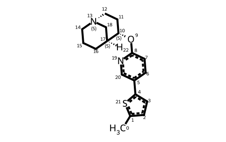 Cc1ccc(-c2ccc(O[C@H]3CC[N@@]4CCC[C@H]3C4)nc2)s1